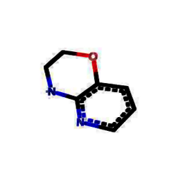 c1cnc2c(c1)OCC[N]2